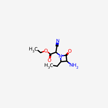 CCOC(=O)C(C#N)N1C(=O)C(N)C1CC